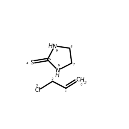 C=CCCl.S=C1NCCN1